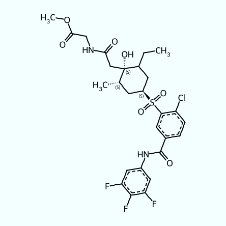 CCC1C[C@@H](S(=O)(=O)c2cc(C(=O)Nc3cc(F)c(F)c(F)c3)ccc2Cl)C[C@H](C)[C@@]1(O)CC(=O)NCC(=O)OC